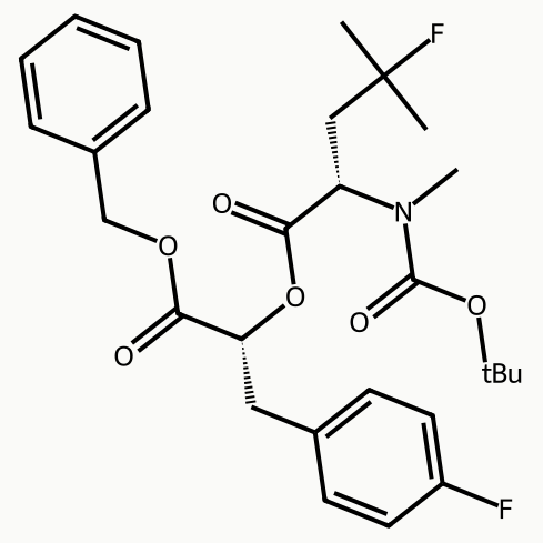 CN(C(=O)OC(C)(C)C)[C@@H](CC(C)(C)F)C(=O)O[C@H](Cc1ccc(F)cc1)C(=O)OCc1ccccc1